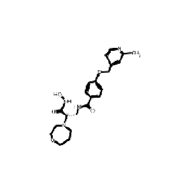 Cc1cc(COc2ccc(C(=O)NC[C@@H](C(=O)NO)N3CCCOCC3)cc2)ccn1